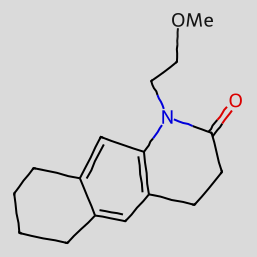 COCCN1C(=O)CCc2cc3c(cc21)CCCC3